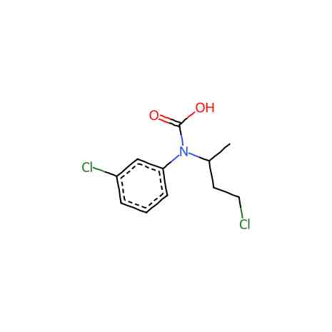 CC(CCCl)N(C(=O)O)c1cccc(Cl)c1